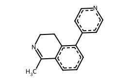 CC1=NCCc2c1cccc2-c1ccncc1